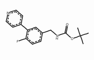 CC(C)(C)OC(=O)NCc1ccc(F)c(-c2ccncc2)c1